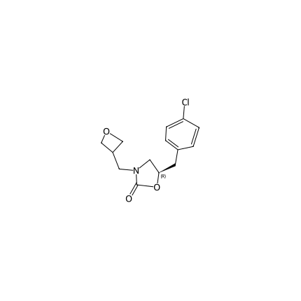 O=C1O[C@H](Cc2ccc(Cl)cc2)CN1CC1COC1